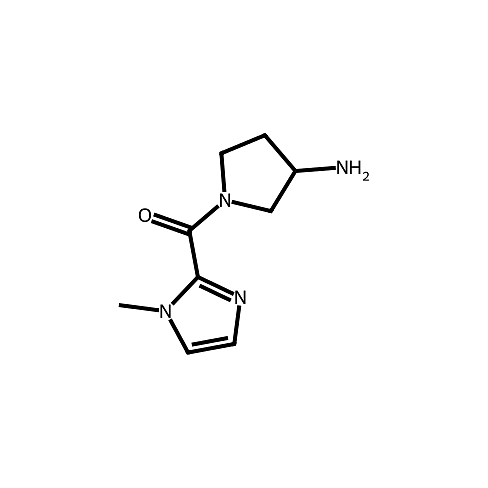 Cn1ccnc1C(=O)N1CCC(N)C1